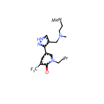 CNCCN(C)Cc1c[nH]nc1-c1cc(C(F)(F)F)c(=O)n(CC(C)C)c1